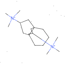 C[N+](C)(C)C1CC23CCCCC2(C1)CC([N+](C)(C)C)C3